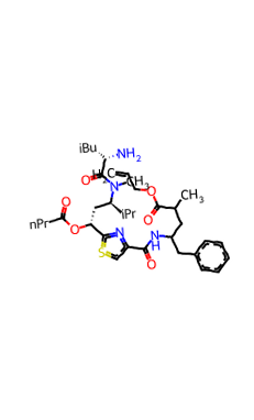 C=CCOC(=O)C(C)CC(Cc1ccccc1)NC(=O)c1csc([C@@H](C[C@H](C(C)C)N(C)C(=O)[C@@H](N)[C@@H](C)CC)OC(=O)CCC)n1